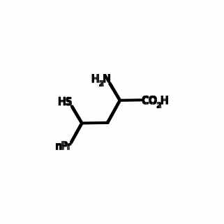 CCCC(S)CC(N)C(=O)O